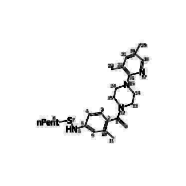 C=C(c1ccc(NSCCCCC)cc1C)N1CCN(c2ncc(C)cc2C)CC1